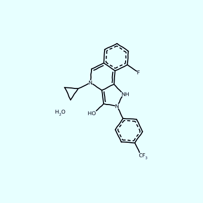 O.OC1=C2C(=c3c(F)cccc3=CN2C2CC2)NN1c1ccc(C(F)(F)F)cc1